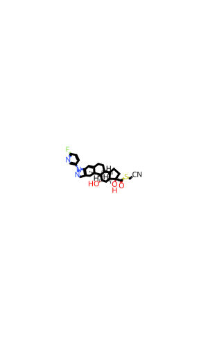 C[C@]12Cc3cnn(-c4ccc(F)nc4)c3C=C1CC[C@@H]1[C@@H]2[C@@H](O)C[C@@]2(C)[C@H]1CC[C@]2(O)C(=O)SCC#N